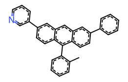 Cc1ccccc1-c1c2ccc(-c3ccccc3)cc2cc2cc(-c3cccnc3)ccc12